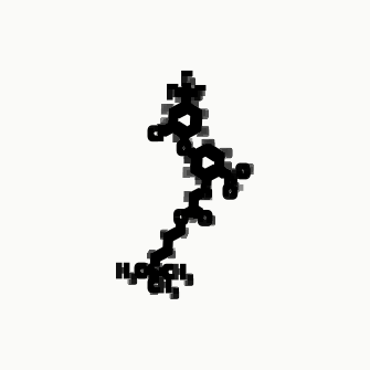 C[Si](C)(C)CCCCOC(=O)CSc1cc(Oc2ccc(C(F)(F)F)cc2Cl)ccc1[N+](=O)[O-]